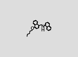 CCCCCOc1ccc(CNc2cccc3ccccc23)c2ccccc12